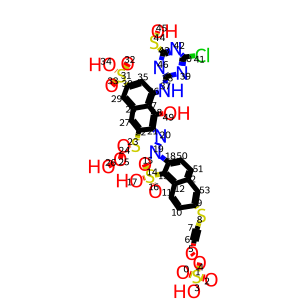 O=S(=O)(O)OOC#CSc1ccc2c(S(=O)(=O)O)c(N=Nc3c(SOOO)cc4cc(S(=O)(=O)O)cc(Nc5nc(Cl)nc(SO)n5)c4c3O)ccc2c1